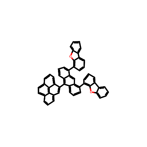 c1cc2ccc3cccc4c(-c5c6cccc(-c7cccc8c7oc7ccccc78)c6cc6c(-c7cccc8c7oc7ccccc78)cccc56)cc(c1)c2c34